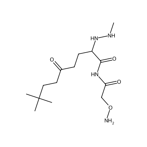 CNNC(CCC(=O)CCC(C)(C)C)C(=O)NC(=O)CON